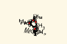 CC[C@H](C)[C@H]1OC2(C=C[C@@H]1C)C[C@@H]1C[C@@H](C/C=C(\C)[C@@H](OC3CC(OC)C(OC(=O)C4CC4)C(C)O3)[C@@H](C)/C=C/C=C3\CO[C@@H]4[C@H](O)C(C)=CC(C(=O)O1)[C@]34O)O2